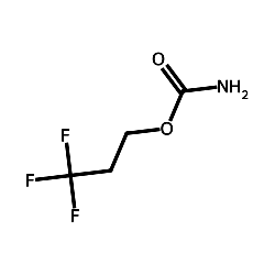 NC(=O)OCCC(F)(F)F